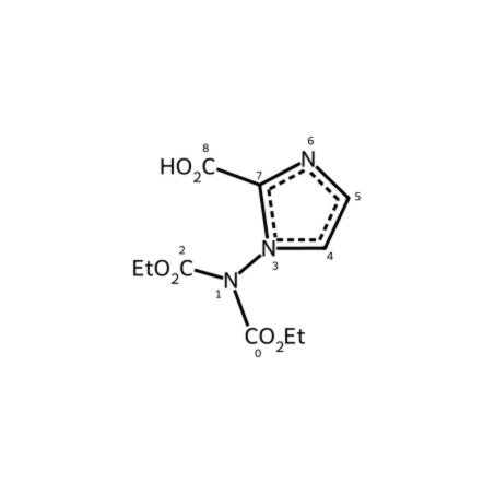 CCOC(=O)N(C(=O)OCC)n1ccnc1C(=O)O